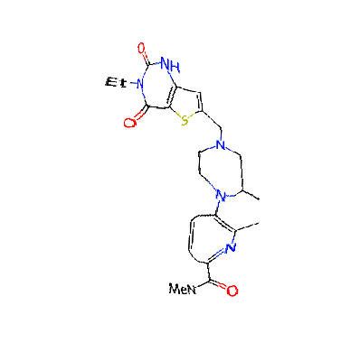 CCn1c(=O)[nH]c2cc(CN3CCN(c4ccc(C(=O)NC)nc4C)C(C)C3)sc2c1=O